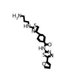 NCCCNc1nc(-c2ccc(C(=O)Nc3nnc(-c4ccco4)s3)cc2)cs1